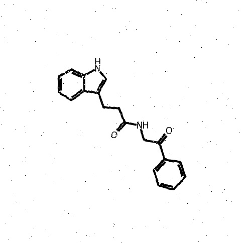 O=C(CCc1c[nH]c2ccccc12)NCC(=O)c1ccccc1